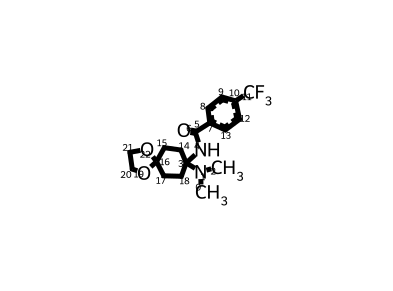 CN(C)C1(NC(=O)c2ccc(C(F)(F)F)cc2)CCC2(CC1)OCCO2